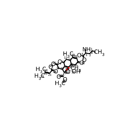 CCCC(N)C(=O)OC1=C(C)C2CC3OC(=O)C(OC(=O)C=C(C)C)C4C35CO[C@]4(C(=O)OC)C[C@H](O)C5C2(C)CC1=O